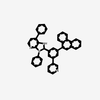 c1ccc(-c2ccnc3c2NC(c2cc(-c4cccnc4)cc(-c4cc5ccccc5c5ccccc45)c2)N3c2ccccc2)cc1